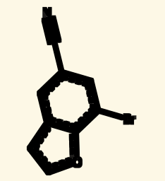 N#Cc1cc(Br)c2occc2c1